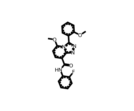 COc1ccccc1-c1nnc2c(C(=O)Nc3ccccc3F)ccc(OC)n12